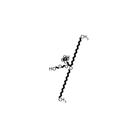 CCCCCCCCCCCCCCCCOC(CCCCCCCCCCCCCCC)C(COS(=O)(=O)O)OCCOCCO